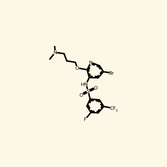 CN(C)CCCOc1ncc(Br)cc1NS(=O)(=O)c1cc(F)cc(C(F)(F)F)c1